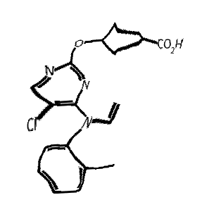 C=CN(c1ccccc1C)c1nc(OC2CC(C(=O)O)C2)ncc1Cl